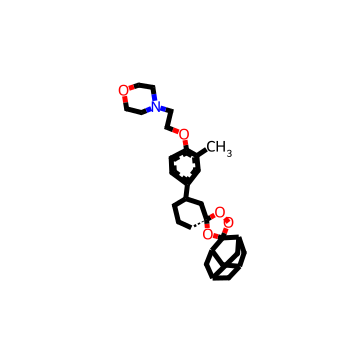 Cc1cc(C2CCC[C@]3(C2)OOC2(O3)C3CC4CC(C3)CC2C4)ccc1OCCN1CCOCC1